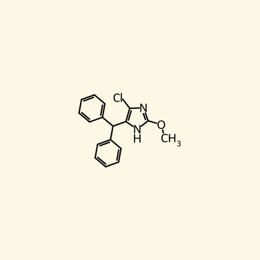 COc1nc(Cl)c(C(c2ccccc2)c2ccccc2)[nH]1